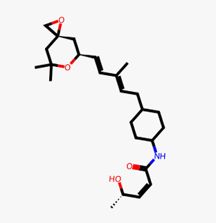 CC(/C=C/[C@@H]1C[C@]2(CO2)CC(C)(C)O1)=C\CC1CCC(NC(=O)/C=C\[C@H](C)O)CC1